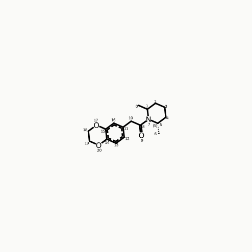 CC1CCC[C@H](C)N1C(=O)Cc1ccc2c(c1)OCCO2